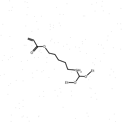 C=CC(=O)OCCCCC[SiH2]C(OCC)OCC